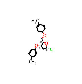 Cc1ccc(OC[C@H]2O[C@H](Cl)C[C@@H]2Oc2ccc(C)cc2)cc1